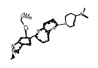 COCOc1cc2nn(C)cc2cc1-c1ccc2nc(N3CCC(N(C)C)CC3)ccc2n1